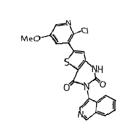 COc1cnc(Cl)c(-c2cc3[nH]c(=O)n(-c4cncc5ccccc45)c(=O)c3s2)c1